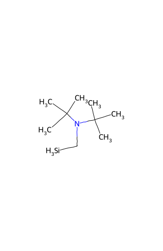 CC(C)(C)N(C[SiH3])C(C)(C)C